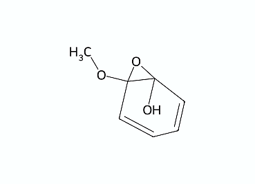 COC12C=CC=CC1(O)O2